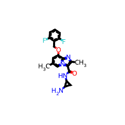 Cc1cc(OCc2c(F)cccc2F)c2nc(C)c(C(=O)NC3CC3N)n2c1